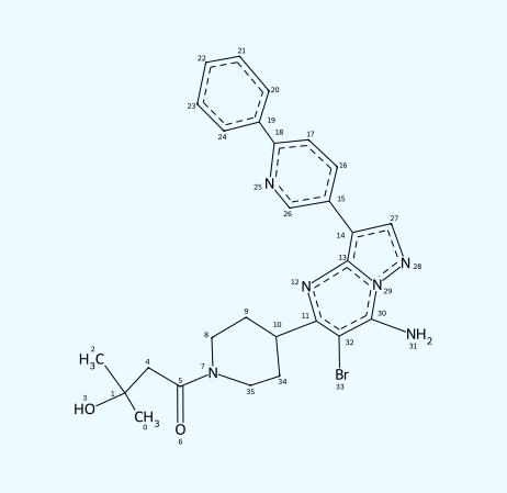 CC(C)(O)CC(=O)N1CCC(c2nc3c(-c4ccc(-c5ccccc5)nc4)cnn3c(N)c2Br)CC1